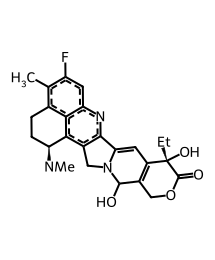 CC[C@@]1(O)C(=O)OCC2=C1C=C1c3nc4cc(F)c(C)c5c4c(c3CN1C2O)[C@@H](NC)CC5